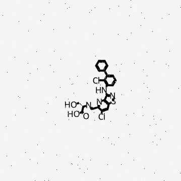 O=C(O)[C@H](CO)N=Cc1nc2c(Nc3cccc(-c4ccccc4)c3Cl)nsc2cc1Cl